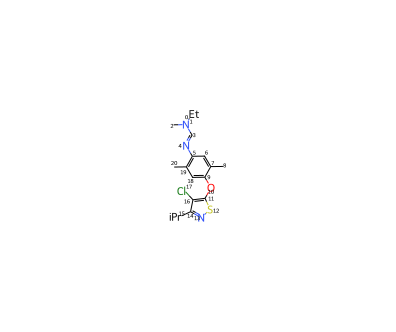 CCN(C)C=Nc1cc(C)c(Oc2snc(C(C)C)c2Cl)cc1C